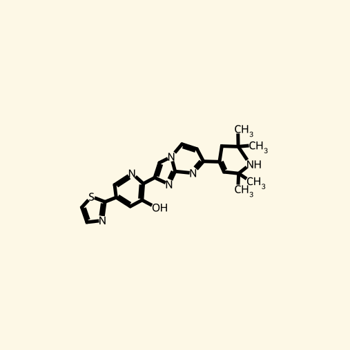 CC1(C)C=C(c2ccn3cc(-c4ncc(-c5nccs5)cc4O)nc3n2)CC(C)(C)N1